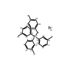 Cc1ccc(C[P+](c2cccc(C)c2)(c2cccc(C)c2)c2cccc(C)c2)cc1.[Br-]